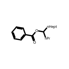 CCCCCCCC(CCC)OC(=O)c1ccccc1